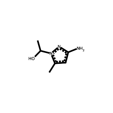 Cc1cc(N)nn1C(C)O